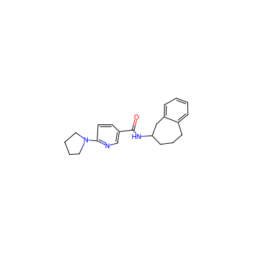 O=C(NC1CCCc2ccccc2C1)c1ccc(N2CCCC2)nc1